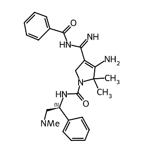 CNC[C@@H](NC(=O)N1CC(C(=N)NC(=O)c2ccccc2)=C(N)C1(C)C)c1ccccc1